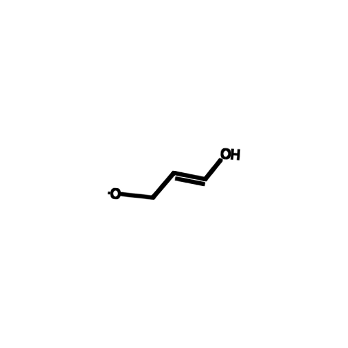 [O]CC=CO